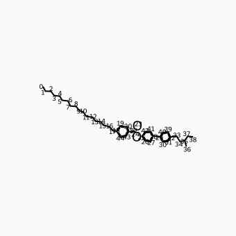 CCCCCCCCCCCCCCCCCCc1ccc(C(=O)Oc2ccc(-c3ccc(CCC(C)CC)cc3)cc2)cc1